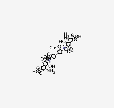 COc1cc(-c2ccc(/N=N/c3c(S(=O)(=O)O)cc4cc(S(=O)(=O)O)cc(N)c4c3O)c(OC)c2)ccc1/N=N/c1c(S(=O)(=O)O)cc2cc(S(=O)(=O)O)cc(N)c2c1O.[Cu]